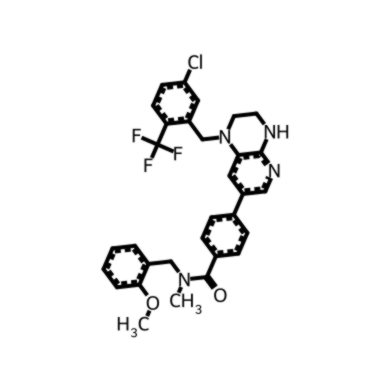 COc1ccccc1CN(C)C(=O)c1ccc(-c2cnc3c(c2)N(Cc2cc(Cl)ccc2C(F)(F)F)CCN3)cc1